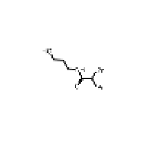 CC(C)C(C(=O)NCCCO)C(C)C